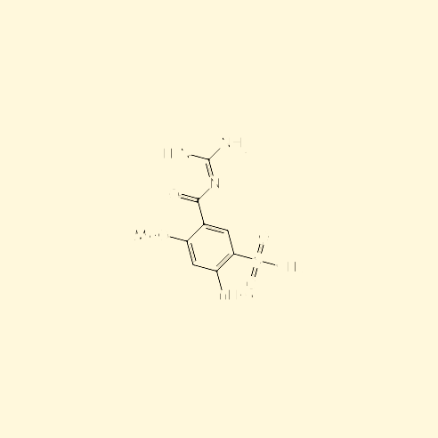 CCCCCCc1cc(OC)c(C(=O)N=C(N)N)cc1S(C)(=O)=O